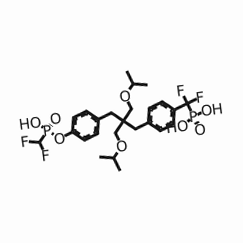 CC(C)OCC(COC(C)C)(Cc1ccc(OP(=O)(O)C(F)F)cc1)Cc1ccc(C(F)(F)P(=O)(O)O)cc1